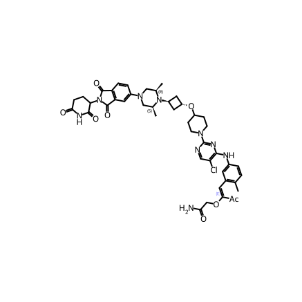 CC(=O)/C(=C\c1cc(Nc2nc(N3CCC(O[C@H]4C[C@H](N5[C@H](C)CN(c6ccc7c(c6)C(=O)N(C6CCC(=O)NC6=O)C7=O)C[C@@H]5C)C4)CC3)ncc2Cl)ccc1C)OCC(N)=O